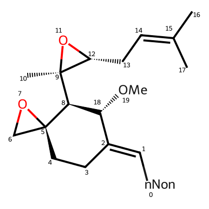 CCCCCCCCCC=C1CC[C@]2(CO2)[C@@H]([C@@]2(C)O[C@@H]2CC=C(C)C)[C@@H]1OC